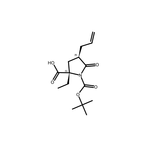 C=CC[C@@H]1C[C@@](CC)(C(=O)O)N(C(=O)OC(C)(C)C)C1=O